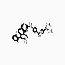 CN(C)C1CN(C(=N)c2ccc(Nc3ncc4c(n3)C3=CN=C(Cl)C=C(c5c(F)cccc5F)C3=CC4)cc2)C1